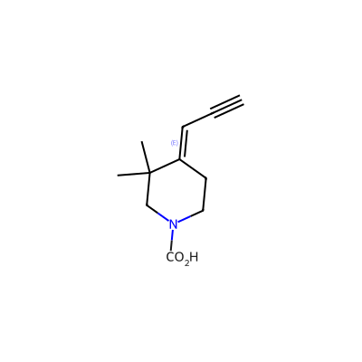 C#C/C=C1\CCN(C(=O)O)CC1(C)C